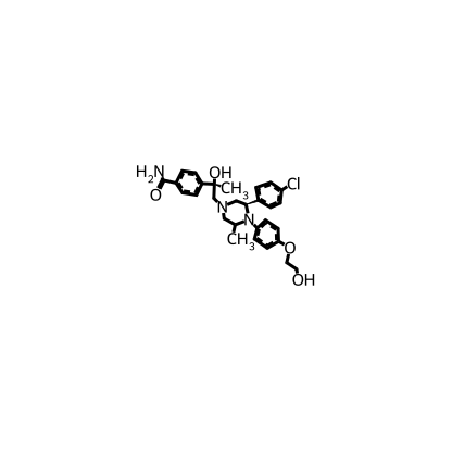 CC1CN(C[C@@](C)(O)c2ccc(C(N)=O)cc2)C[C@@H](c2ccc(Cl)cc2)N1c1ccc(OCCO)cc1